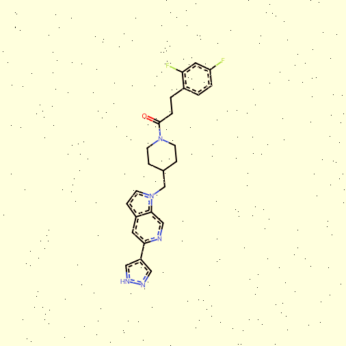 O=C(CCc1ccc(F)cc1F)N1CCC(Cn2ccc3cc(-c4cn[nH]c4)ncc32)CC1